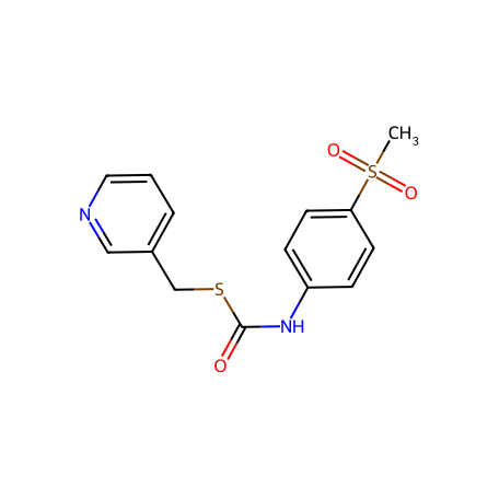 CS(=O)(=O)c1ccc(NC(=O)SCc2cccnc2)cc1